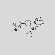 CCC(=O)Nc1cc(C(C)OC(=O)NC)ccc1B1OC(C)(C)C(C)(C)O1